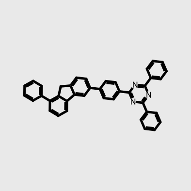 c1ccc(-c2nc(-c3ccccc3)nc(-c3ccc(-c4ccc5c(c4)-c4cccc(-c6ccccc6)c4C5)cc3)n2)cc1